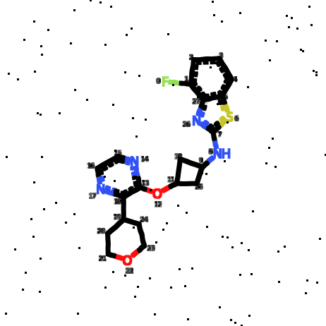 Fc1cccc2sc(NC3CC(Oc4nccnc4C4CCOCC4)C3)nc12